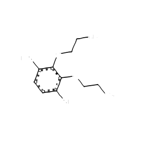 CCCCCCCCCCCCOc1c(N)ccc(N)c1OCCCCCCCCCCCC